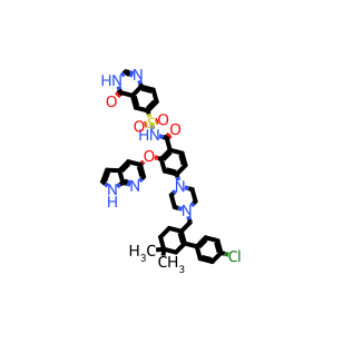 CC1(C)CCC(CN2CCN(c3ccc(C(=O)NS(=O)(=O)c4ccc5nc[nH]c(=O)c5c4)c(Oc4cnc5[nH]ccc5c4)c3)CC2)=C(c2ccc(Cl)cc2)C1